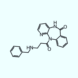 O=C1Nc2cccnc2N(C(=O)CCNCc2ccccc2)c2ccccc21